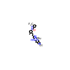 CCN1Cc2cnc(Nc3cc(CCc4cc(NC(=O)c5cccc(C(F)(F)F)c5)ccc4C)nn3C(C)(C)C)cc2C1